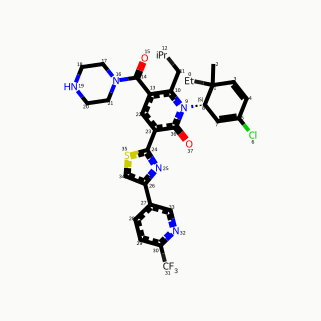 CCC1(C)C=CC(Cl)=C[C@@H]1n1c(CC(C)C)c(C(=O)N2CCNCC2)cc(-c2nc(-c3ccc(C(F)(F)F)nc3)cs2)c1=O